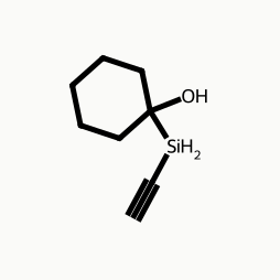 C#C[SiH2]C1(O)CCCCC1